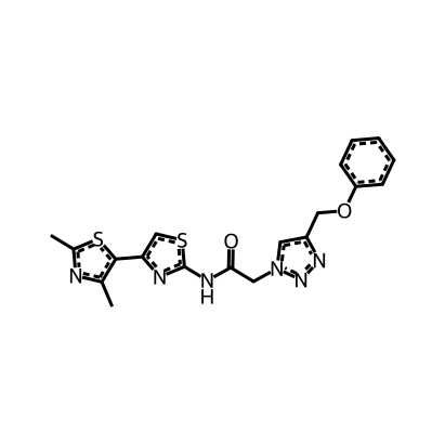 Cc1nc(C)c(-c2csc(NC(=O)Cn3cc(COc4ccccc4)nn3)n2)s1